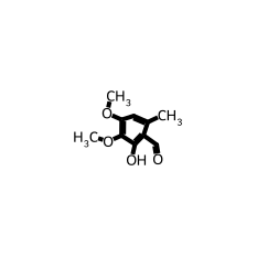 COc1cc(C)c(C=O)c(O)c1OC